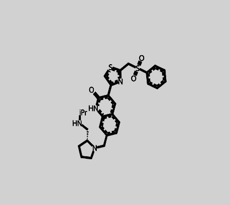 CC(C)NC[C@H]1CCCN1Cc1ccc2cc(-c3csc(CS(=O)(=O)c4ccccc4)n3)c(=O)[nH]c2c1